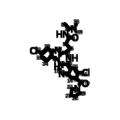 CC(NC(=O)CCC(Nc1ncnc2cc(C(=O)N3CCCC3)c(Cl)cc12)c1nc2cc(Cl)ccc2[nH]1)N(C)C